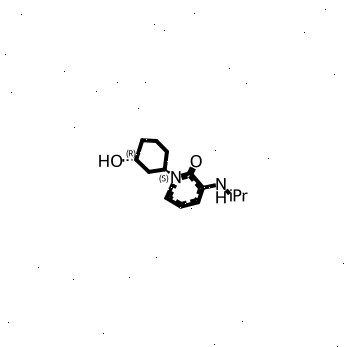 CC(C)Nc1cccn([C@H]2CCC[C@@H](O)C2)c1=O